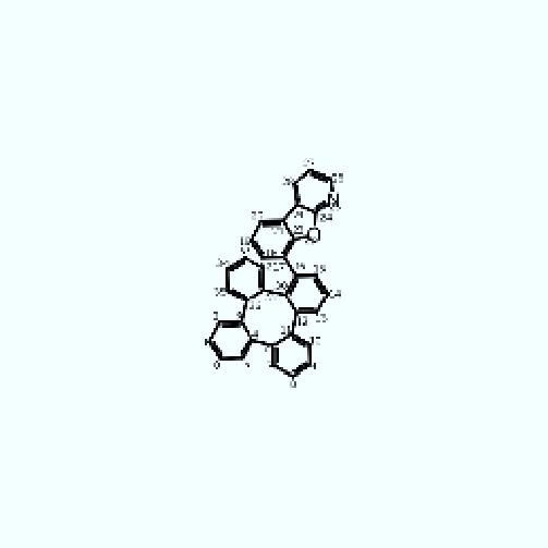 c1ccc2c(c1)-c1ccccc1-c1cccc(-c3cccc4c3oc3ncccc34)c1-c1ccccc1-2